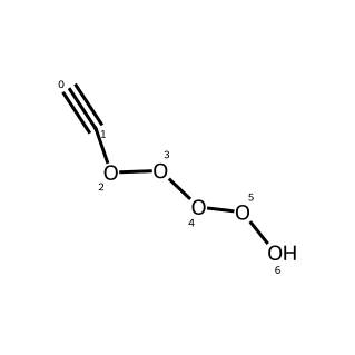 C#COOOOO